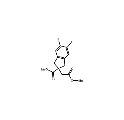 COC(=O)C1(CC(=O)OC(C)(C)C)Cc2cc(F)c(F)cc2C1